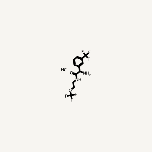 Cl.NC(C(=O)NCCOC(F)(F)F)c1cccc(C(F)(F)F)c1